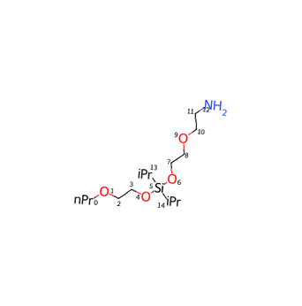 CCCOCCO[Si](OCCOCCN)(C(C)C)C(C)C